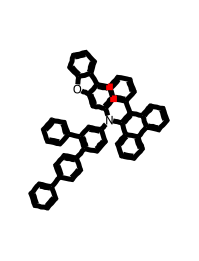 c1ccc(-c2ccc(-c3ccc(N(c4ccc5c(c4)oc4ccccc45)c4c(-c5ccccc5)c5ccccc5c5ccccc45)cc3-c3ccccc3)cc2)cc1